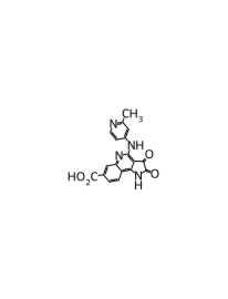 Cc1cc(Nc2nc3cc(C(=O)O)ccc3c3c2C(=O)C(=O)N3)ccn1